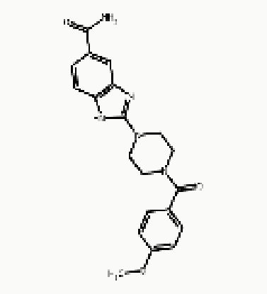 COc1ccc(C(=O)N2CCN(c3nc4cc(C(N)=O)ccc4[nH]3)CC2)cc1